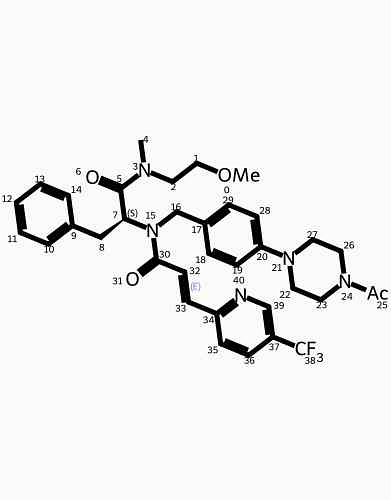 COCCN(C)C(=O)[C@H](Cc1ccccc1)N(Cc1ccc(N2CCN(C(C)=O)CC2)cc1)C(=O)/C=C/c1ccc(C(F)(F)F)cn1